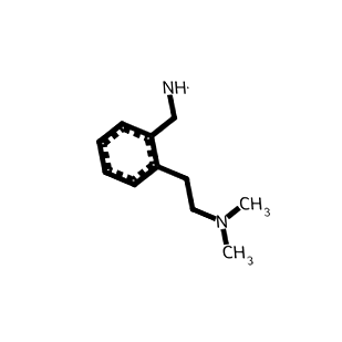 CN(C)CCc1ccccc1C[NH]